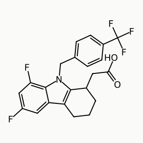 O=C(O)CC1CCCc2c1n(Cc1ccc(C(F)(F)F)cc1)c1c(F)cc(F)cc21